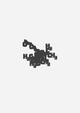 C=C(C)[SiH2]O[Si](CCCOCC1CO1)(O[SiH2]C(=C)C)O[SiH2]C(=C)C